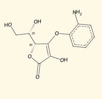 Nc1ccccc1OC1=C(O)C(=O)O[C@@H]1[C@@H](O)CO